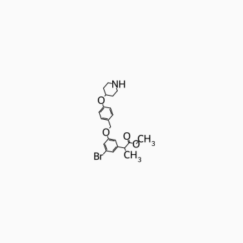 COC(=O)C(C)c1cc(Br)cc(OCc2ccc(OC3CCNCC3)cc2)c1